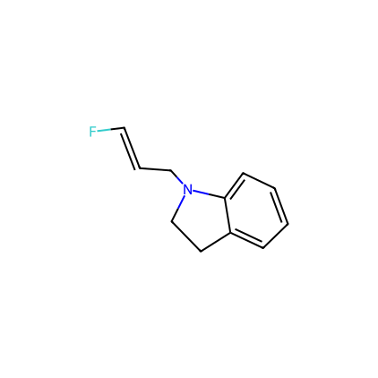 FC=CCN1CCc2ccccc21